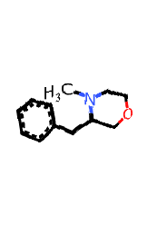 CN1CCOCC1Cc1ccccc1